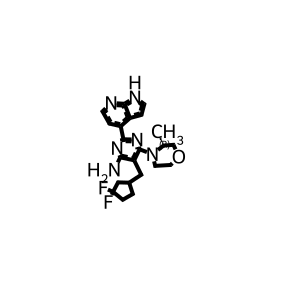 C[C@@H]1COCCN1c1nc(-c2ccnc3[nH]ccc23)nc(N)c1CC1CCC(F)(F)C1